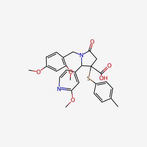 COc1ccc(CN2C(=O)CC(Sc3ccc(C)cc3)(C(=O)O)C2c2ccnc(OC)c2)c(OC)c1